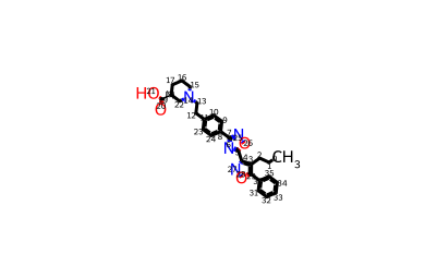 CCCc1c(-c2nc(-c3ccc(CCN4CCC[C@H](C(=O)O)C4)cc3)no2)noc1-c1ccccc1